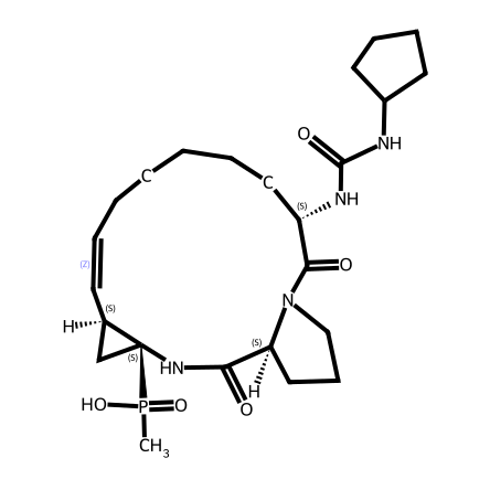 CP(=O)(O)[C@@]12C[C@H]1/C=C\CCCCC[C@H](NC(=O)NC1CCCC1)C(=O)N1CCC[C@H]1C(=O)N2